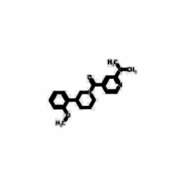 COc1ccccc1C1CCCN(C(=O)c2ccnc(N(C)C)c2)C1